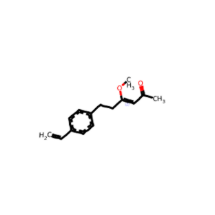 C=Cc1ccc(CC/C(=C/C(C)=O)OC)cc1